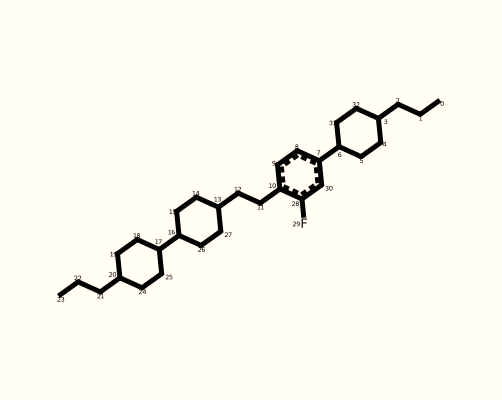 CCCC1CCC(c2ccc(CCC3CCC(C4CCC(CCC)CC4)CC3)c(F)c2)CC1